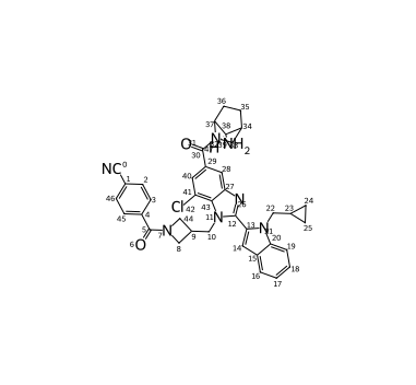 N#Cc1ccc(C(=O)N2CC(Cn3c(-c4cc5ccccc5n4CC4CC4)nc4cc(C(=O)N5CC6CCC5[C@@H]6N)cc(Cl)c43)C2)cc1